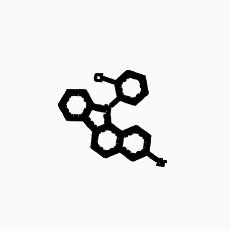 Clc1ccccc1-n1c2ccccc2c2ccc3cc(Br)ccc3c21